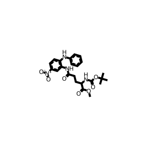 COC(=O)C(CCC(=O)Nc1cc([N+](=O)[O-])ccc1Nc1ccccc1)NC(=O)OC(C)(C)C